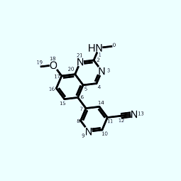 CNc1ncc2c(-c3cncc(C#N)c3)ccc(OC)c2n1